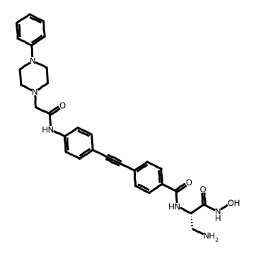 NC[C@H](NC(=O)c1ccc(C#Cc2ccc(NC(=O)CN3CCN(c4ccccc4)CC3)cc2)cc1)C(=O)NO